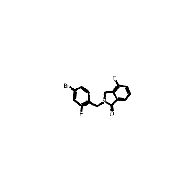 O=C1c2cccc(F)c2CN1Cc1ccc(Br)cc1F